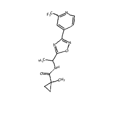 CC(NC(=O)C1(C)CC1)c1nc(-c2ccnc(C(F)(F)F)c2)no1